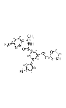 CCc1cnc(-c2cc(OC[C@H]3CNCCO3)cc(C(=O)NC(C)c3ccc(C(F)(F)F)nn3)c2)s1